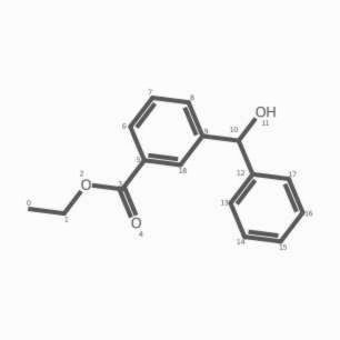 CCOC(=O)c1cccc(C(O)c2ccccc2)c1